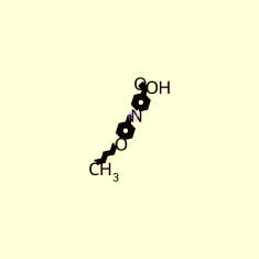 CCCCCCOc1ccc(/C=N/c2ccc(C(=O)O)cc2)cc1